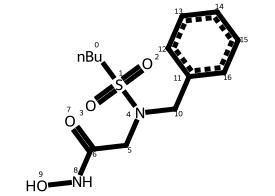 CCCCS(=O)(=O)N(CC(=O)NO)Cc1ccccc1